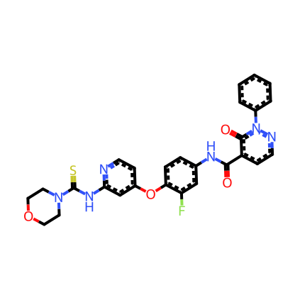 O=C(Nc1ccc(Oc2ccnc(NC(=S)N3CCOCC3)c2)c(F)c1)c1ccnn(-c2ccccc2)c1=O